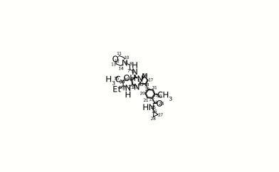 CC[C@H](Nc1cc(NCCN2CCOCC2)n2ncc(-c3ccc(C(=O)NC4CC4)c(C)c3)c2n1)[C@H](C)O